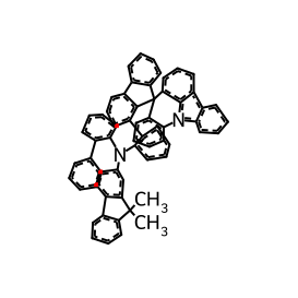 CC1(C)c2ccccc2-c2ccc(N(c3ccccc3-c3ccccc3)c3ccccc3-c3cccc4c3C3(c5ccccc5-4)c4ccccc4-n4c5ccccc5c5cccc3c54)cc21